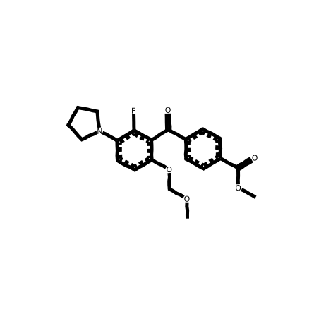 COCOc1ccc(N2CCCC2)c(F)c1C(=O)c1ccc(C(=O)OC)cc1